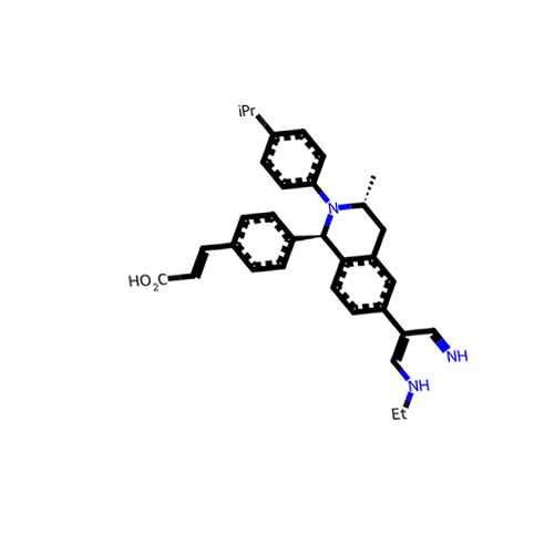 CCN/C=C(\C=N)c1ccc2c(c1)C[C@@H](C)N(c1ccc(C(C)C)cc1)[C@@H]2c1ccc(/C=C/C(=O)O)cc1